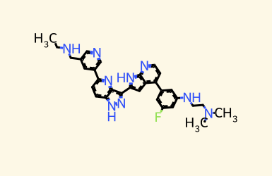 CCNCc1cncc(-c2ccc3[nH]nc(-c4cc5c(-c6cc(F)cc(NCCN(C)C)c6)ccnc5[nH]4)c3n2)c1